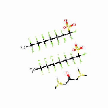 C[S+](C)CC(=O)C[S+](C)C.O=S(=O)([O-])C(F)(F)C(F)(F)C(F)(F)C(F)(F)C(F)(F)C(F)(F)C(F)(F)C(F)(F)F.O=S(=O)([O-])C(F)(F)C(F)(F)C(F)(F)C(F)(F)C(F)(F)C(F)(F)C(F)(F)C(F)(F)F